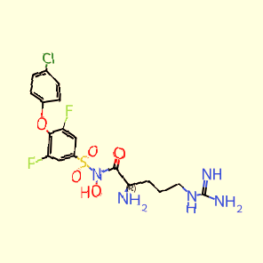 N=C(N)NCCC[C@@H](N)C(=O)N(O)S(=O)(=O)c1cc(F)c(Oc2ccc(Cl)cc2)c(F)c1